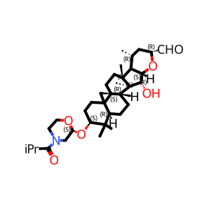 CC(C)C(=O)N1CCO[C@@H](O[C@H]2CCC34C[C@]35CC[C@]3(C)C6[C@H](C)C[C@H](C=O)O[C@@H]6[C@H](O)[C@@]3(C)[C@@H]5CC[C@H]4C2(C)C)C1